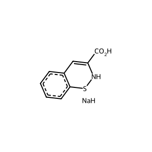 O=C(O)C1=Cc2ccccc2SN1.[NaH]